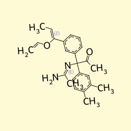 C=CO/C(=C\C)c1cccc(C(/N=C(\C)N)(C(C)=O)c2ccc(C)c(C)c2)c1